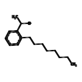 CCCCCCCCc1ccccc1C(C)[O]